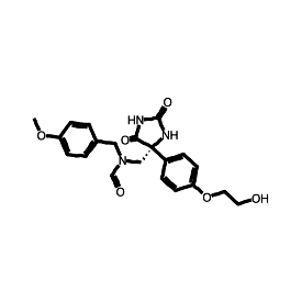 COc1ccc(CN(C=O)C[C@@]2(c3ccc(OCCO)cc3)NC(=O)NC2=O)cc1